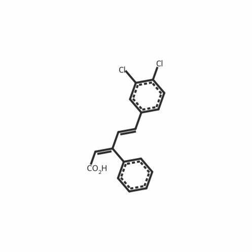 O=C(O)C=C(C=Cc1ccc(Cl)c(Cl)c1)c1ccccc1